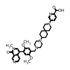 COc1cc(-c2cn(C)c(=O)c3cnccc23)c(OC)cc1CN1CCN(C2CCC3(CC2)CCN(c2ccc(C(=O)O)nc2)CC3)CC1